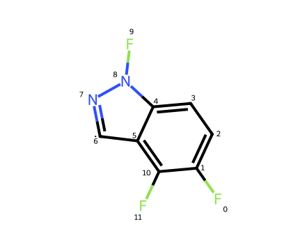 Fc1ccc2c([c]nn2F)c1F